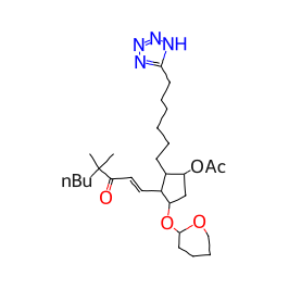 CCCCC(C)(C)C(=O)C=CC1C(OC2CCCCO2)CC(OC(C)=O)C1CCCCCCc1nnn[nH]1